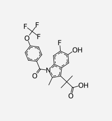 Cc1c(C(C)(C)C(=O)O)c2cc(O)c(F)cc2n1C(=O)c1ccc(OC(F)(F)F)cc1